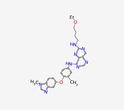 CCOCCCCNc1ncc2ncnc(Nc3ccc(Oc4ccc5c(c4)ncn5C)c(C)c3)c2n1